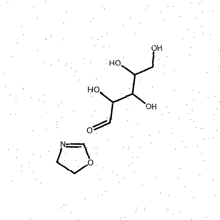 C1=NCCO1.O=CC(O)C(O)C(O)CO